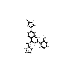 Cn1cc(-c2ccc3c(NC4CCNC4)nc(-c4ccccc4O)nc3c2)cn1